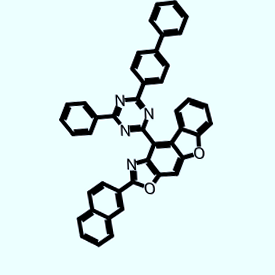 c1ccc(-c2ccc(-c3nc(-c4ccccc4)nc(-c4c5nc(-c6ccc7ccccc7c6)oc5cc5oc6ccccc6c45)n3)cc2)cc1